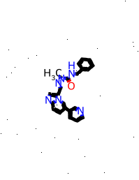 CN(N=Cc1cnc2ccc(-c3cccnc3)cn12)C(=O)NCc1ccccc1